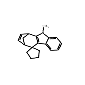 Cn1c2c(c3ccccc31)C1(CCCC1)C1C=CC2C1